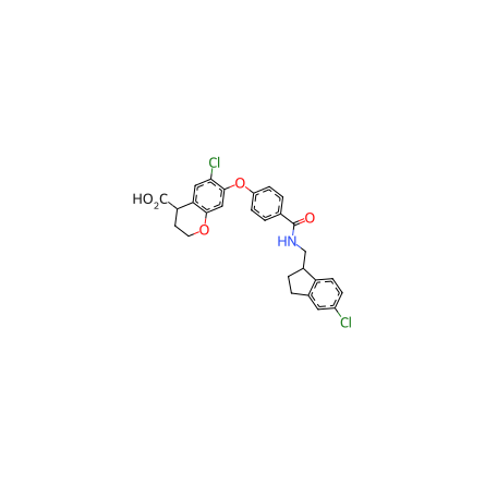 O=C(NCC1CCc2cc(Cl)ccc21)c1ccc(Oc2cc3c(cc2Cl)C(C(=O)O)CCO3)cc1